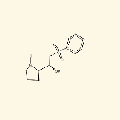 O=S(=O)(C[C@@H](O)[C@H]1CCCN1I)c1ccccc1